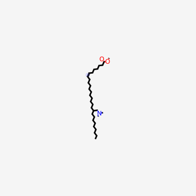 CCCCCCCCCC(CCCCCCCCCC/C=C\CCCCCC(=O)OC)CN(C)C